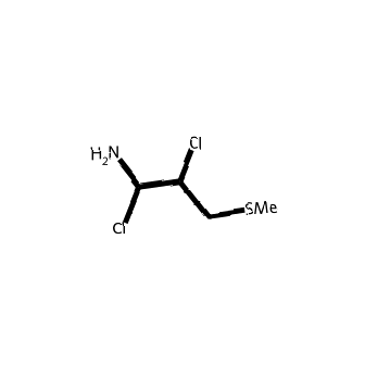 CSCC(Cl)C(N)Cl